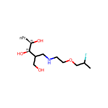 CCC[C@@H](O)[C@H](O)C(CO)CNCCOCC(C)F